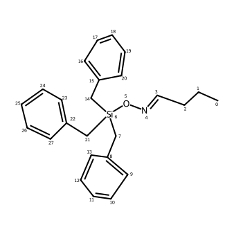 CCCC=NO[Si](Cc1ccccc1)(Cc1ccccc1)Cc1ccccc1